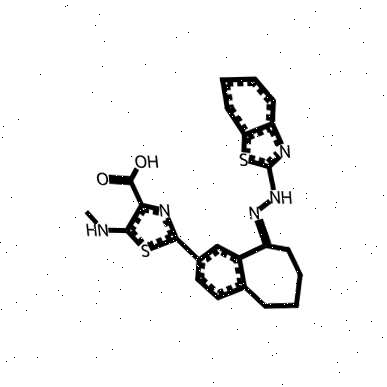 CNc1sc(-c2ccc3c(c2)/C(=N/Nc2nc4ccccc4s2)CCCC3)nc1C(=O)O